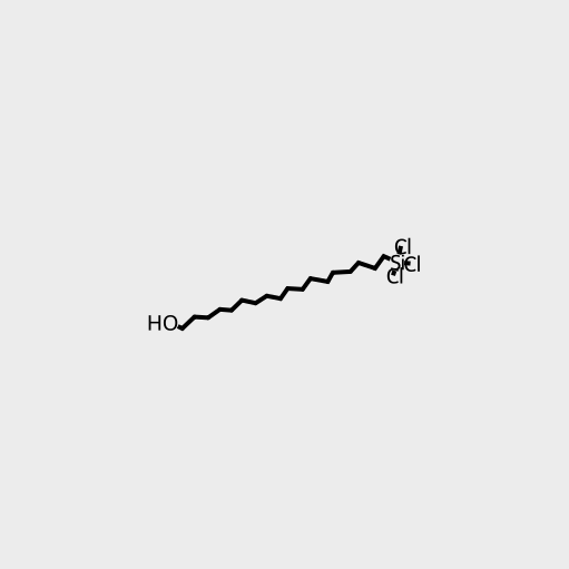 OCCCCCCCCCCCCCCCCCC[Si](Cl)(Cl)Cl